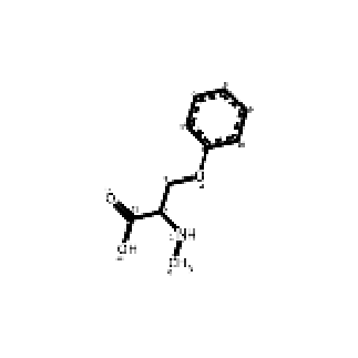 CNC(COc1ccccc1)C(=O)O